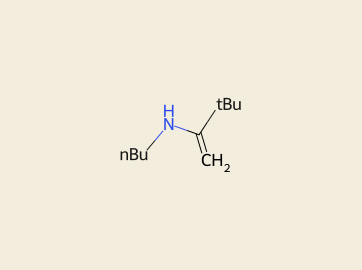 C=C(NCCCC)C(C)(C)C